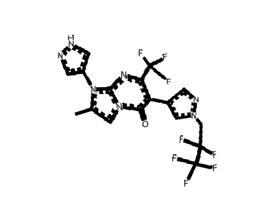 Cc1cn2c(=O)c(-c3cnn(CC(F)(F)C(F)(F)F)c3)c(C(F)(F)F)nc2n1-c1cn[nH]c1